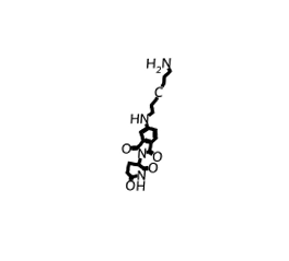 NCCCCCCCNc1ccc2c(c1)C(=O)N(C1CCC(=O)NC1=O)C2=O